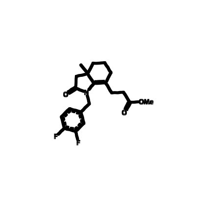 COC(=O)CCC1=C2N(Cc3ccc(F)c(F)c3)C(=O)CC2(C)CCC1